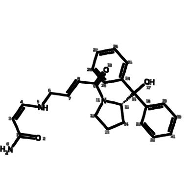 NC(=O)/C=C\NC/C=C/C(=O)N1CCC[C@H]1C(O)(c1ccccc1)c1ccccc1